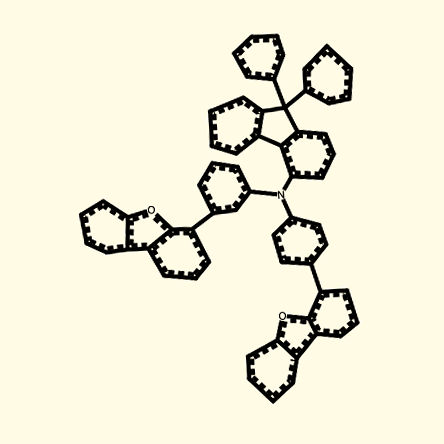 c1ccc(C2(c3ccccc3)c3ccccc3-c3c(N(c4ccc(-c5cccc6c5oc5ccccc56)cc4)c4cccc(-c5cccc6c5oc5ccccc56)c4)cccc32)cc1